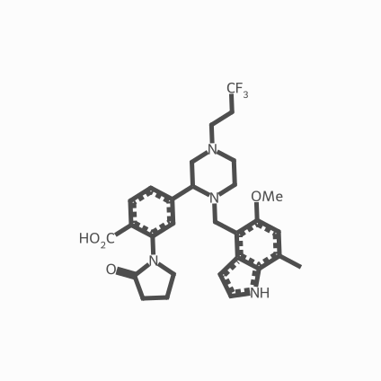 COc1cc(C)c2[nH]ccc2c1CN1CCN(CCC(F)(F)F)CC1c1ccc(C(=O)O)c(N2CCCC2=O)c1